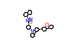 c1cc(-c2nc(-c3cccc4ccccc34)ns2)cc(-n2c3ccccc3c3cc(-c4ccc5c(c4)oc4ccccc45)ccc32)c1